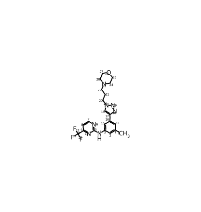 Cc1cc(Nc2nccc(C(F)(F)F)n2)cc(-c2cn(CCCN3CCOCC3)nn2)c1